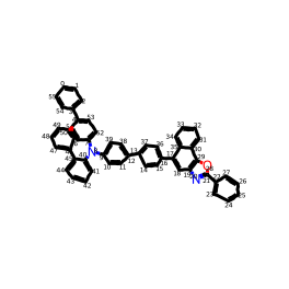 c1ccc(-c2ccc(N(c3ccc(-c4ccc(-c5cc6nc(-c7ccccc7)oc6c6ccccc56)cc4)cc3)c3ccccc3-c3ccccc3)cc2)cc1